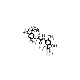 Cc1cc(O)c(C(C)(C)C)cc1NC(=O)C(=O)Nc1cc(C(C)(C)C)c(O)cc1C